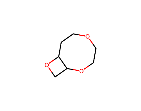 C1COC2COC2CCO1